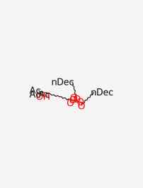 CCCCCCCCCCCCCCCCCC(=O)OCC(COC(=O)CCCCCCCCCCCCCCCC(C(C)=O)C(O)(C(C)=O)C(C)=O)OC(=O)CCCCCCCCCCCCCCCCC